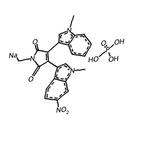 Cn1cc(C2=C(c3cn(C)c4cc([N+](=O)[O-])ccc34)C(=O)N([CH2][Na])C2=O)c2ccccc21.O=P(O)(O)O